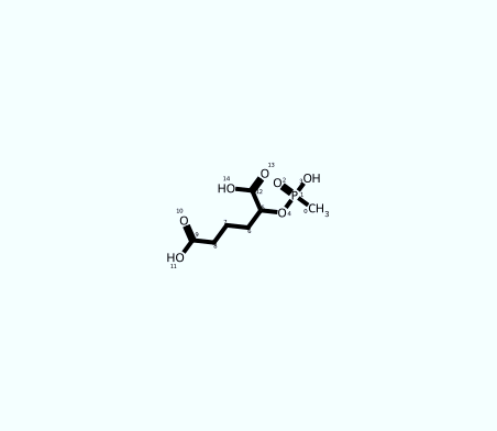 CP(=O)(O)OC(CCCC(=O)O)C(=O)O